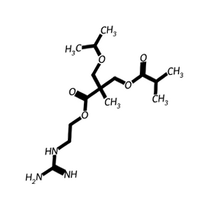 CC(C)OCC(C)(COC(=O)C(C)C)C(=O)OCCNC(=N)N